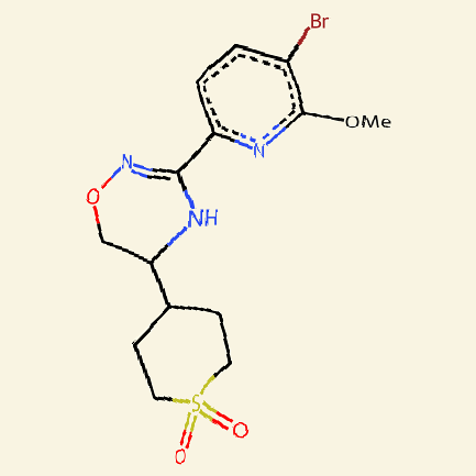 COc1nc(C2=NOCC(C3CCS(=O)(=O)CC3)N2)ccc1Br